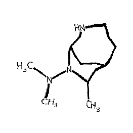 CC1C2CCNC(C2)N1N(C)C